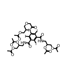 CC(=O)OCC(CNC(=O)c1c(I)c(C(=O)NCC(COC(C)=O)OC(C)=O)c(I)c(N2C(=O)COCC2COC(C)=O)c1I)OC(C)=O